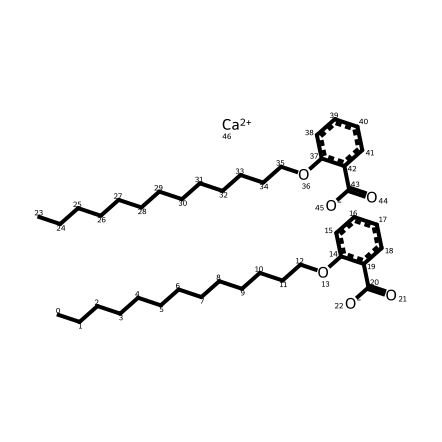 CCCCCCCCCCCCCOc1ccccc1C(=O)[O-].CCCCCCCCCCCCCOc1ccccc1C(=O)[O-].[Ca+2]